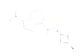 N#C[C@H]1C[C@@H](NC(=O)c2ccnc3c(C(N)=O)cnn23)C1